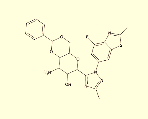 Cc1nc(C2OC3COC(c4ccccc4)OC3C(N)C2O)n(-c2cc(F)c3nc(C)sc3c2)n1